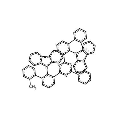 Cc1ccccc1-c1cccc(-c2nc(-c3ccccc3)nc(-c3cccc(-c4ccccc4C)c3-n3c4ccccc4c4ccccc43)n2)c1-n1c2ccccc2c2ccccc21